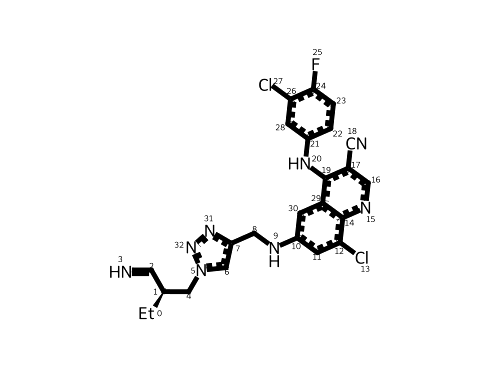 CC[C@@H](C=N)Cn1cc(CNc2cc(Cl)c3ncc(C#N)c(Nc4ccc(F)c(Cl)c4)c3c2)nn1